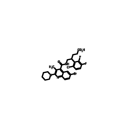 Cc1c(N2CCCCC2)nc2ccc(Br)cc2c1C(=O)NCC(CCC(=O)O)c1c(Cl)ccc(F)c1F